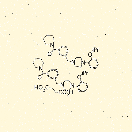 CC(C)Oc1ccccc1N1CCN(Cc2cccc(C(=O)N3CCCCC3)c2)CC1.CC(C)Oc1ccccc1N1CCN(Cc2cccc(C(=O)N3CCCCC3)c2)CC1.O=C(O)CCC(=O)O